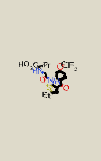 CCc1cc(C(=O)c2ccc(OC(F)(F)F)cc2)c(NC(=O)CN[C@H](C(=O)O)C(C)C)s1